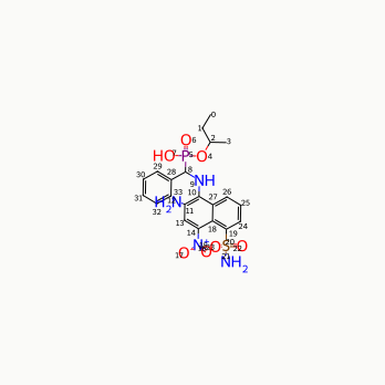 CCC(C)OP(=O)(O)C(Nc1c(N)cc([N+](=O)[O-])c2c(S(N)(=O)=O)cccc12)c1ccccc1